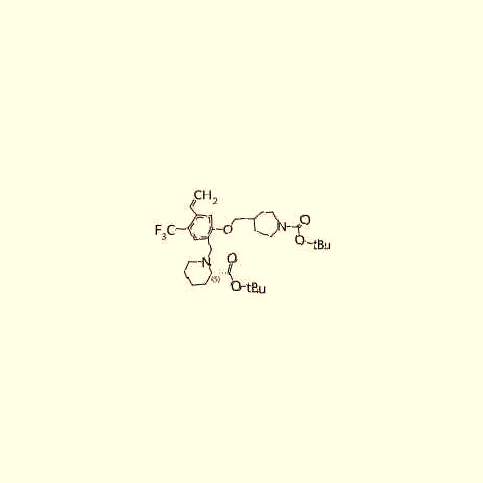 C=Cc1cc(OCC2CCN(C(=O)OC(C)(C)C)CC2)c(CN2CCCC[C@H]2C(=O)OC(C)(C)C)cc1C(F)(F)F